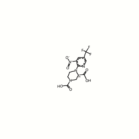 O=C(O)[C@H]1CN(C(=O)O)CCN1c1ncc(C(F)(F)F)cc1[N+](=O)[O-]